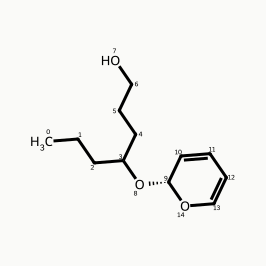 CCCC(CCCO)O[C@@H]1C=CC=CO1